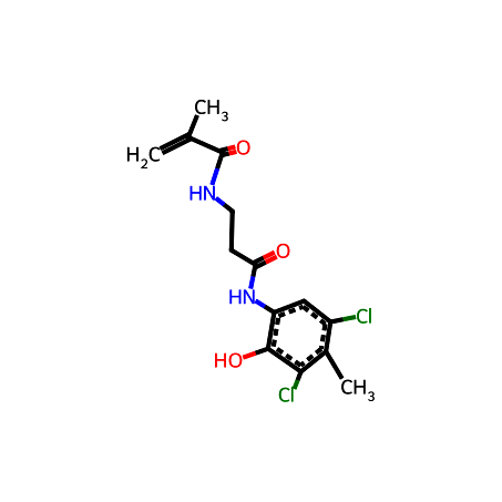 C=C(C)C(=O)NCCC(=O)Nc1cc(Cl)c(C)c(Cl)c1O